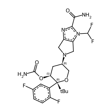 CC(C)(C)[C@]1(c2cc(F)ccc2F)OC[C@H](N2Cc3nc(C(N)=O)n(C(F)F)c3C2)C[C@@H]1OC(N)=O